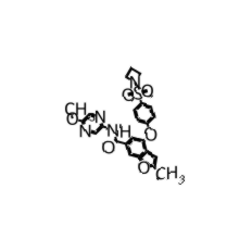 COc1cnc(NC(=O)c2cc(Oc3ccc(S(=O)(=O)N4CCC4)cc3)c3cc(C)oc3c2)cn1